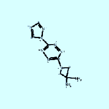 NC1(N)CN(c2nnc(-n3cncn3)nn2)C1